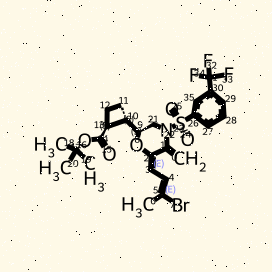 C=C1/C(=C\C=C(/C)Br)O[C@@H]([C@H]2CC[C@@H]2C(=O)OC(C)(C)C)CN1S(=O)(=O)c1cccc(C(F)(F)F)c1